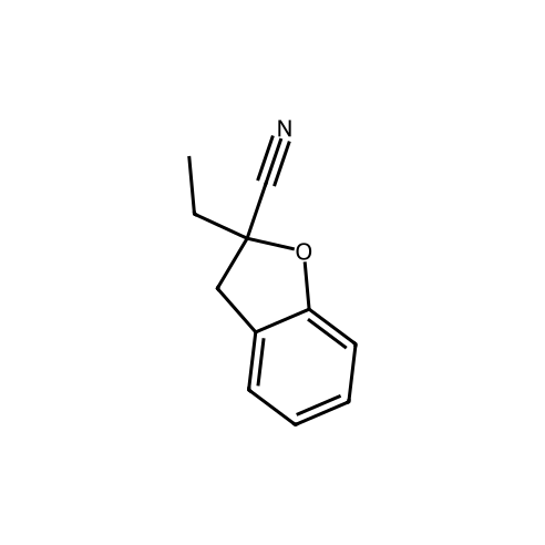 CCC1(C#N)Cc2ccccc2O1